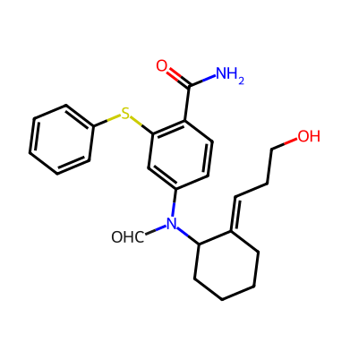 NC(=O)c1ccc(N(C=O)C2CCCC/C2=C\CCO)cc1Sc1ccccc1